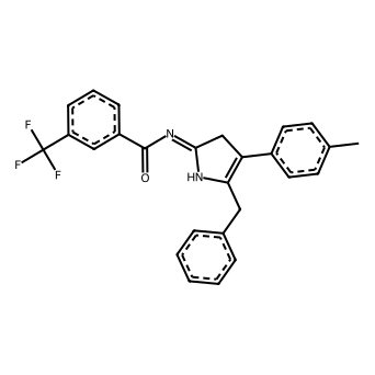 Cc1ccc(C2=C(Cc3ccccc3)N/C(=N\C(=O)c3cccc(C(F)(F)F)c3)C2)cc1